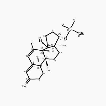 CC1=CC2=CC(=O)CC[C@]2(C)[C@H]2CC[C@]3(C)[C@@H](O[Si](C)(C)C(C)(C)C)CC[C@H]3[C@H]12